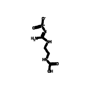 N/C(=N\[N+](=O)[O-])NCCNC(=O)O